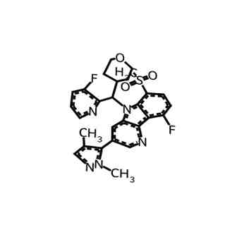 Cc1cnn(C)c1-c1cnc2c3c(F)ccc(S(C)(=O)=O)c3n(C(c3ncccc3F)C3CCOCC3)c2c1